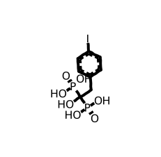 O=P(O)(O)C(O)(Cc1ccc(I)cc1)P(=O)(O)O